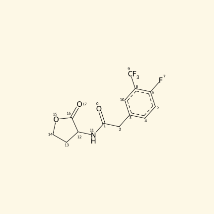 O=C(Cc1ccc(F)c(C(F)(F)F)c1)NC1CCOC1=O